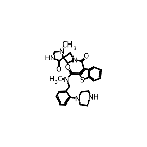 CN(Cc1ccccc1N1CCNCC1)C(=O)c1sc2ccccc2c1C(=O)N1CC2(C1)C(=O)NCN2C